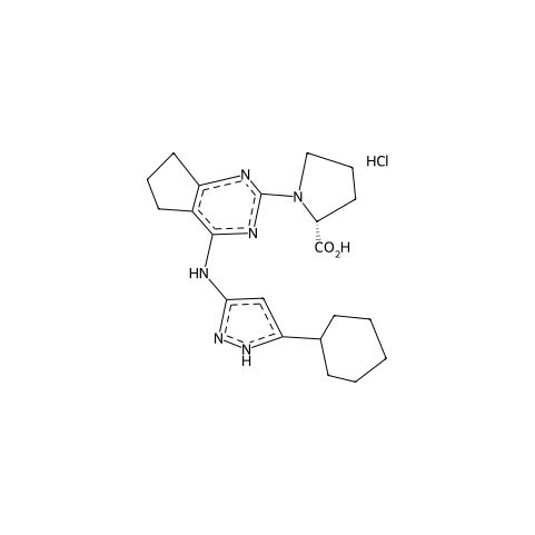 Cl.O=C(O)[C@H]1CCCN1c1nc2c(c(Nc3cc(C4CCCCC4)[nH]n3)n1)CCC2